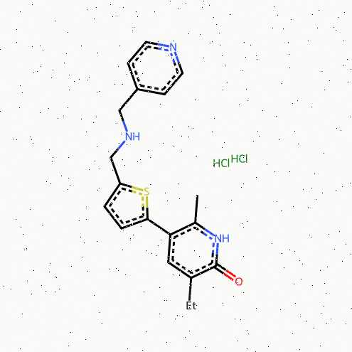 CCc1cc(-c2ccc(CNCc3ccncc3)s2)c(C)[nH]c1=O.Cl.Cl